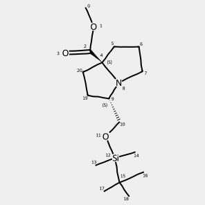 COC(=O)[C@@]12CCCN1[C@H](CO[Si](C)(C)C(C)(C)C)CC2